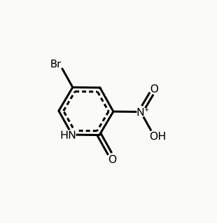 O=c1[nH]cc(Br)cc1[N+](=O)O